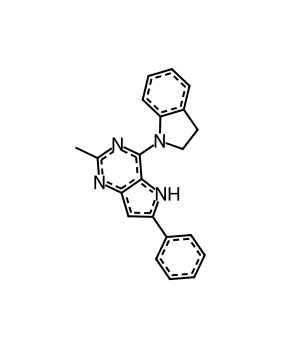 Cc1nc(N2CCc3ccccc32)c2[nH]c(-c3ccccc3)cc2n1